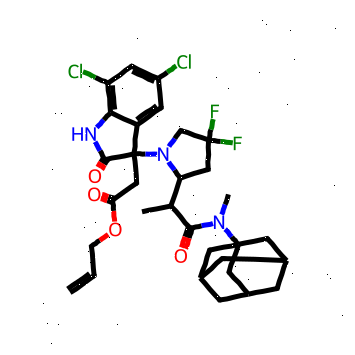 C=CCOC(=O)CC1(N2CC(F)(F)CC2C(C)C(=O)N(C)C23CC4CC(CC(C4)C2)C3)C(=O)Nc2c(Cl)cc(Cl)cc21